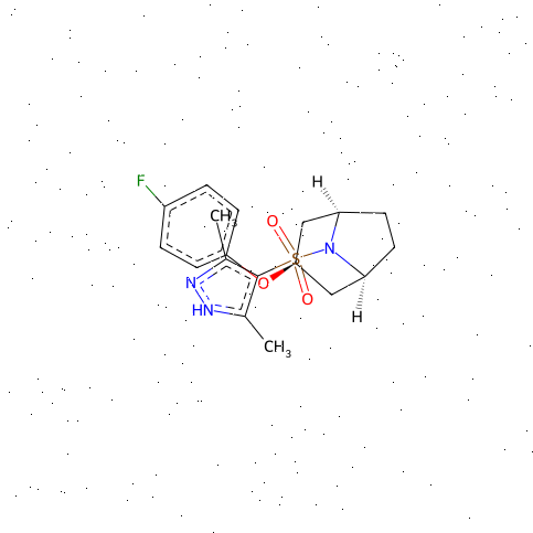 Cc1n[nH]c(C)c1S(=O)(=O)N1[C@@H]2CC[C@H]1C[C@@H](Oc1ccc(F)cc1)C2